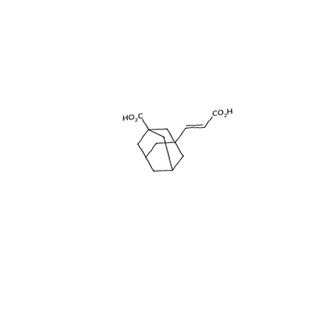 O=C(O)C=CC12CC3CC(C1)CC(C(=O)O)(C3)C2